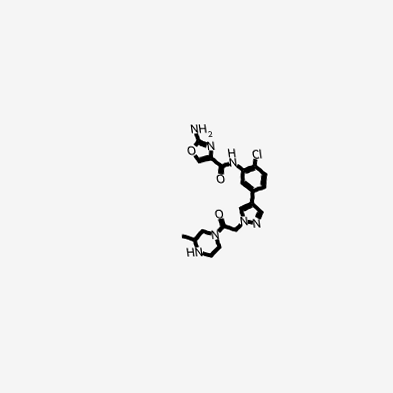 CC1CN(C(=O)Cn2cc(-c3ccc(Cl)c(NC(=O)c4coc(N)n4)c3)cn2)CCN1